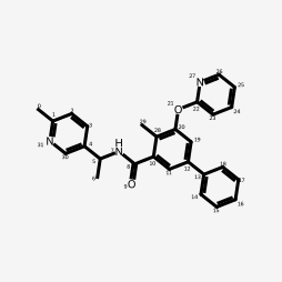 Cc1ccc(C(C)NC(=O)c2cc(-c3ccccc3)cc(Oc3ccccn3)c2C)cn1